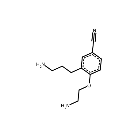 N#Cc1ccc(OCCN)c(CCCN)c1